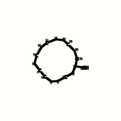 OC1CCCCCCCCCCCCCCO1